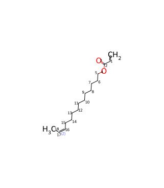 C=CC(=O)OCCCCCCCCCCC/C=C\C